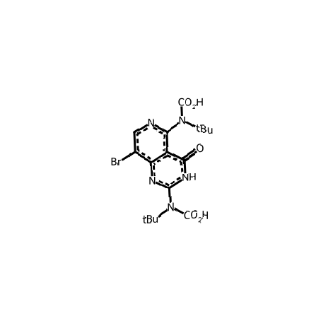 CC(C)(C)N(C(=O)O)c1nc2c(Br)cnc(N(C(=O)O)C(C)(C)C)c2c(=O)[nH]1